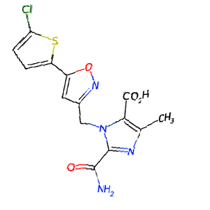 Cc1nc(C(N)=O)n(Cc2cc(-c3ccc(Cl)s3)on2)c1C(=O)O